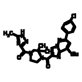 Cc1nc(C(=O)N2CCN(C(=O)c3cn4nc(-c5ccc(Cl)cc5)cc(C(C)(C)C)c4n3)C(C)(C)C2)n[nH]1